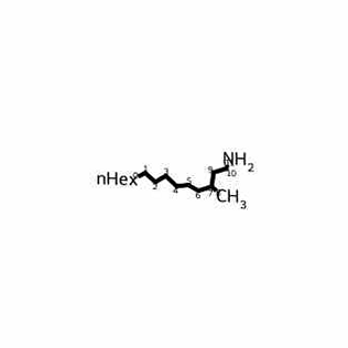 CCCCCCCCCCCCC(C)CCN